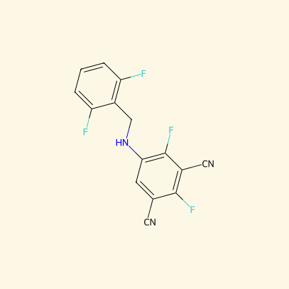 N#Cc1cc(NCc2c(F)cccc2F)c(F)c(C#N)c1F